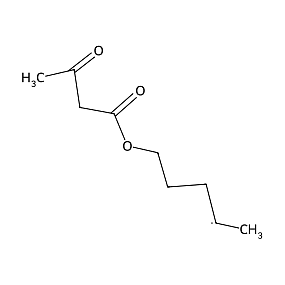 C[CH]CCCOC(=O)CC(C)=O